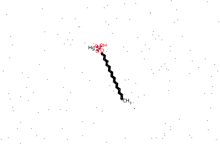 CCCCCCCCCCCCCCCCCCOP(=O)(O)[O][Hg]